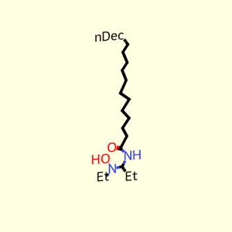 CCCCCCCCCCCCCCCCCCCCCC(=O)NC(CC)N(O)CC